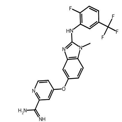 Cn1c(Nc2cc(C(F)(F)F)ccc2F)nc2cc(Oc3ccnc(C(=N)N)c3)ccc21